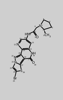 C[C@@H]1CCCN1CC(=O)Nc1cnc2c(c1)[nH]c(=O)c1c2nn2cc(Br)sc12